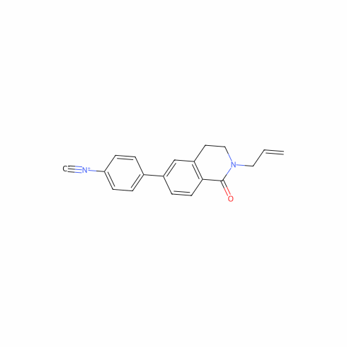 [C-]#[N+]c1ccc(-c2ccc3c(c2)CCN(CC=C)C3=O)cc1